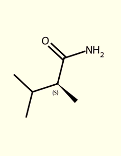 CC(C)[C@H](C)C(N)=O